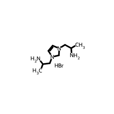 Br.CC(N)CN1C=CN(CC(C)N)C1